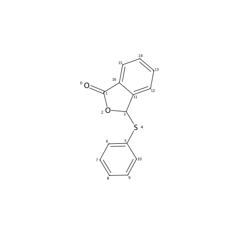 O=C1OC(Sc2ccccc2)c2ccccc21